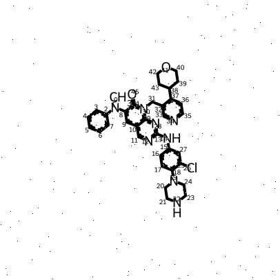 CN(c1ccccc1)c1cc2cnc(Nc3ccc(N4CCNCC4)c(Cl)c3)nc2n(Cc2cnccc2C2CCOCC2)c1=O